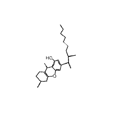 CCCCCCCC(C)C(C)c1cc(O)c2c(c1)OC1=C(CCC(C)C1)C2C